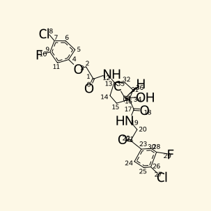 O=C(COc1ccc(Cl)c(F)c1)NC12CCC(C(=O)NCC(=O)c3ccc(Cl)c(F)c3)(CC1)[C@@H](O)C2